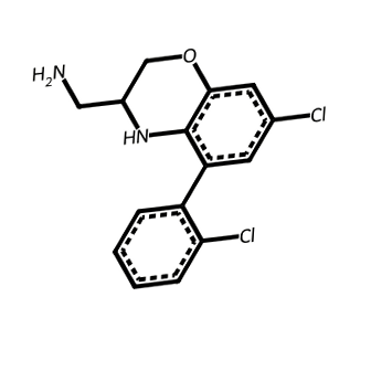 NCC1COc2cc(Cl)cc(-c3ccccc3Cl)c2N1